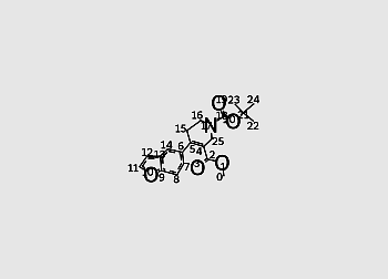 COC(=O)C1=C(c2ccc3occc3c2)CCN(C(=O)OC(C)(C)C)C1